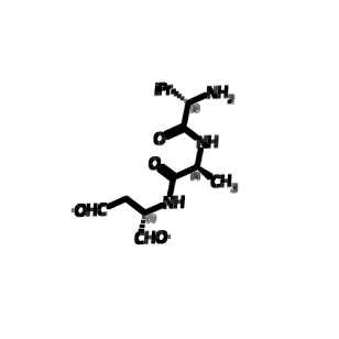 CC(C)[C@H](N)C(=O)N[C@@H](C)C(=O)N[C@H]([C]=O)C[C]=O